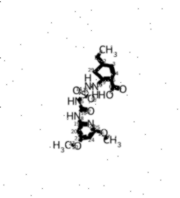 CC=C1C=CC(C(=O)O)=C(NNS(=O)(=O)NC(=O)Nc2cc(OC)cc(OC)n2)C1